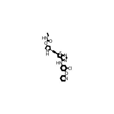 CCNC(=O)O[C@H]1CN[C@H](C#Cc2cc3c(Nc4ccc(Oc5ccccn5)c(Cl)c4)ncnc3s2)C1